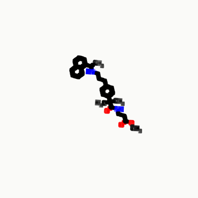 COC(=O)CCNC(=O)C(C)(C)c1ccc(CCCNC(C)c2cccc3ccccc23)cc1